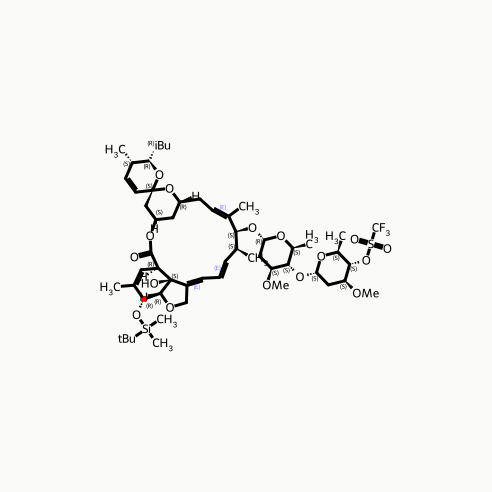 CC[C@@H](C)[C@H]1O[C@]2(C=C[C@@H]1C)C[C@@H]1C[C@@H](C/C=C(\C)[C@@H](O[C@H]3C[C@H](OC)[C@@H](O[C@H]4C[C@H](OC)[C@@H](OS(=O)(=O)C(F)(F)F)[C@H](C)O4)[C@H](C)O3)[C@@H](C)/C=C/C=C3\CO[C@@H]4[C@H](O[Si](C)(C)C(C)(C)C)C(C)=C[C@@H](C(=O)O1)[C@]34O)O2